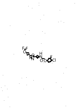 O=C(COc1ccc(Cl)c(F)c1)NC12CC(c3nnc(C4CC(OC(F)F)C4)o3)(C1)C2